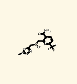 Cn1nnc(C[S+]([O-])Cc2nc(C(F)(F)F)ccc2C(N)=O)n1